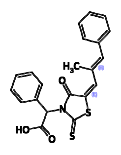 CC(=C\c1ccccc1)/C=C1/SC(=S)N(C(C(=O)O)c2ccccc2)C1=O